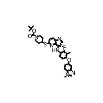 Cc1c(Oc2ccc3c(c2)ncn3C)ccc(Nc2ncnc3ccc(SC4CCN(C(=O)OC(C)(C)C)CC4)nc23)c1F